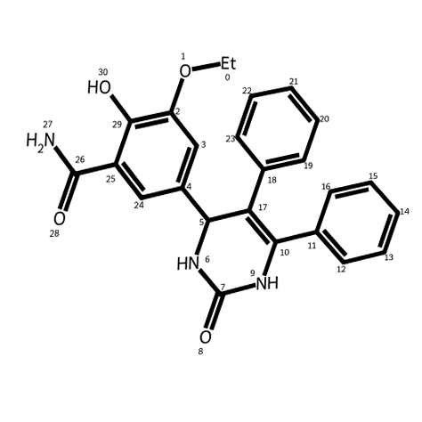 CCOc1cc(C2NC(=O)NC(c3ccccc3)=C2c2ccccc2)cc(C(N)=O)c1O